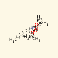 CCCCCCCCCC/C(=C/C(=O)OCC(C)C)C(=O)OCC(C)C